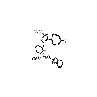 CO[C@@H]1CCCN(Cc2nc(C)sc2-c2ccc(F)cc2)[C@@H]1CNc1nc2ccccc2s1